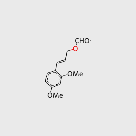 COc1ccc(/C=C/CO[C]=O)c(OC)c1